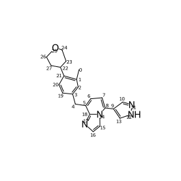 Cc1cc(Cc2ccc(-c3cn[nH]c3)n3ccnc23)ccc1C1CCOCC1